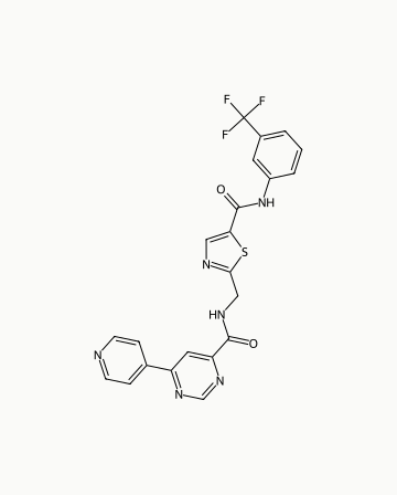 O=C(NCc1ncc(C(=O)Nc2cccc(C(F)(F)F)c2)s1)c1cc(-c2ccncc2)ncn1